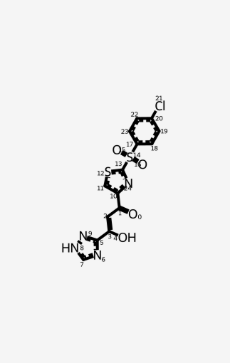 O=C(C=C(O)c1nc[nH]n1)c1csc(S(=O)(=O)c2ccc(Cl)cc2)n1